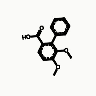 COc1ccc(C(=O)O)c(-c2ccccc2)c1OC